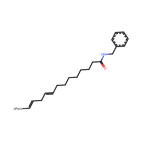 CCCCCC=CCC=CCCCCCCCC(=O)NCc1ccccc1